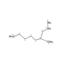 COCCCCC(CNC(C)(C)C)OC